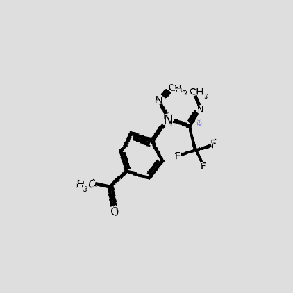 C=NN(/C(=N\C)C(F)(F)F)c1ccc(C(C)=O)cc1